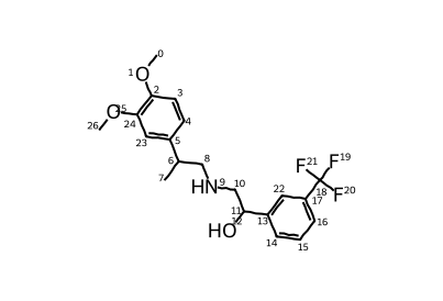 COc1ccc(C(C)CNCC(O)c2cccc(C(F)(F)F)c2)cc1OC